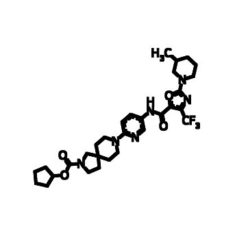 CC1CCCN(c2nc(C(F)(F)F)c(C(=O)Nc3ccc(N4CCC5(CCN(C(=O)OC6CCCC6)C5)CC4)nc3)o2)C1